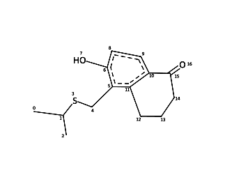 CC(C)SCc1c(O)ccc2c1CCCC2=O